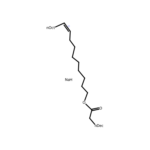 CCCCCCCC/C=C\CCCCCCCCOC(=O)CCCCCCCCCCC.[NaH]